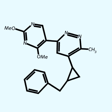 COc1ncc(-c2cc(C3CC3Cc3ccccc3)c(C)nn2)c(OC)n1